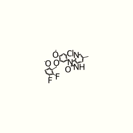 COc1cc(Cl)c(-n2c(=O)[nH]c3cc(C)cnc32)cc1OCc1c(OC)ccc(F)c1F